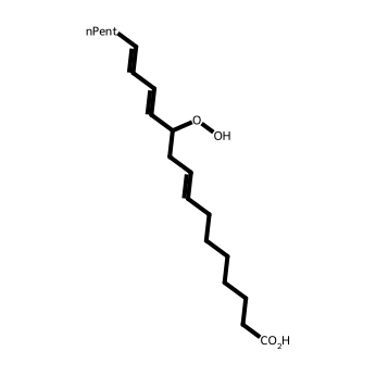 CCCCCC=CC=CC(CC=CCCCCCCC(=O)O)OO